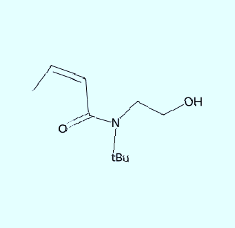 C/C=C\C(=O)N(CCO)C(C)(C)C